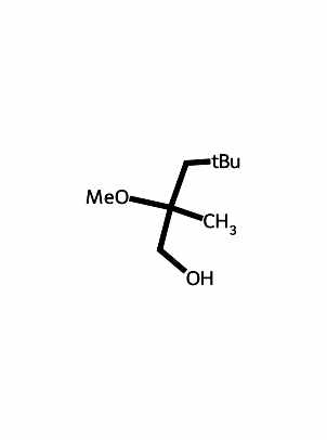 COC(C)(CO)CC(C)(C)C